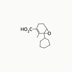 CC1=C(C(=O)O)CCC2OC12C1CCCCC1